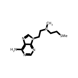 CSCCN(C)CCn1cnc2c(N)ncnc21